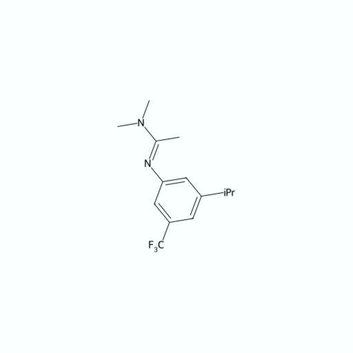 C/C(=N\c1cc(C(C)C)cc(C(F)(F)F)c1)N(C)C